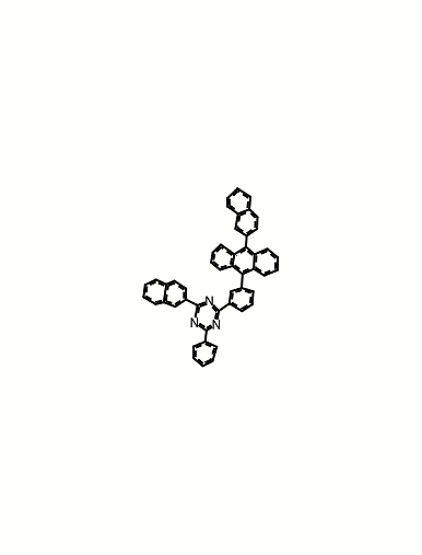 c1ccc(-c2nc(-c3cccc(-c4c5ccccc5c(-c5ccc6ccccc6c5)c5ccccc45)c3)nc(-c3ccc4ccccc4c3)n2)cc1